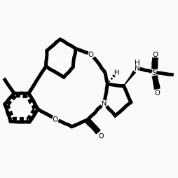 Cc1cccc2c1C1CCC(CC1)OC[C@H]1[C@@H](NS(C)(=O)=O)CCN1C(=O)CO2